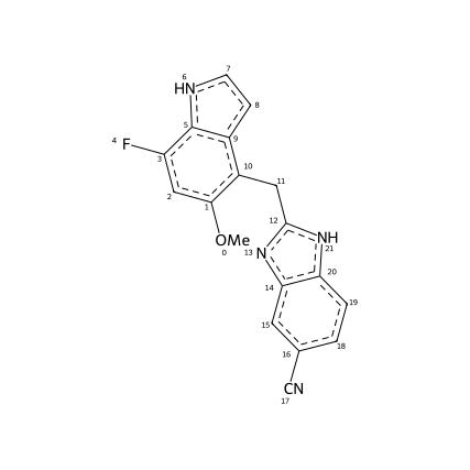 COc1cc(F)c2[nH]ccc2c1Cc1nc2cc(C#N)ccc2[nH]1